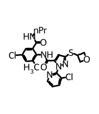 CCCNC(=O)c1cc(Cl)cc(C)c1NC(=O)c1cc(SC2COC2)nn1-c1ncccc1Cl